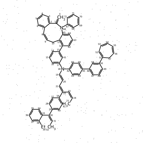 C=C1c2ccccc2/C=C\Cc2c(-c3cccc(N(/C=C/C=C(\C=C/C)c4ccc(/C(=C/C)c5ccccc5CC)cc4)c4ccc(-c5cccc(C6=CC=CC=CC6)c5)cc4)c3)cccc2N1c1ccccc1